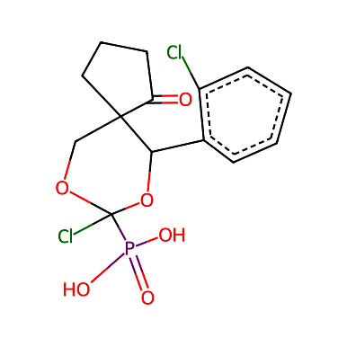 O=C1CCCC12COC(Cl)(P(=O)(O)O)OC2c1ccccc1Cl